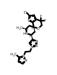 Cc1ccnn1CCn1cc([C@@H]2C[C@]3(C[C@H](C)N2)OCC(F)(F)c2cc(Cl)sc23)nn1